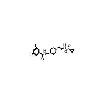 O=C(NCC1CCN(CCNS(=O)(=O)C2CC2)CC1)c1cc(F)cc(F)c1